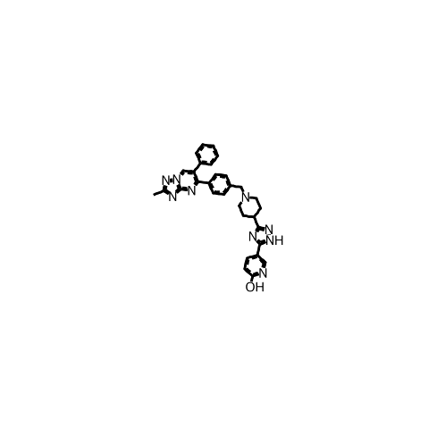 Cc1nc2nc(-c3ccc(CN4CCC(c5n[nH]c(-c6ccc(O)nc6)n5)CC4)cc3)c(-c3ccccc3)cn2n1